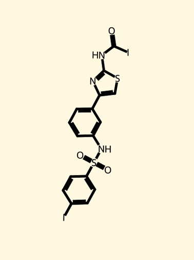 O=C(I)Nc1nc(-c2cccc(NS(=O)(=O)c3ccc(I)cc3)c2)cs1